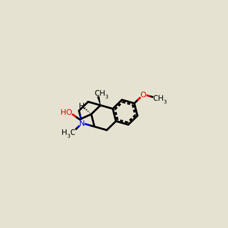 COc1ccc2c(c1)[C@@]1(C)CCN(C)C(C2)[C@H]1CO